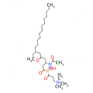 CCCCCCCCCCCCCC(CC)CC(=O)CC(CC(=O)P(O)C(=O)CC[N+](C)(C)C)NC(C)=O